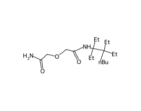 CCCCC(CC)(CC)C(CC)(CC)NC(=O)COCC(N)=O